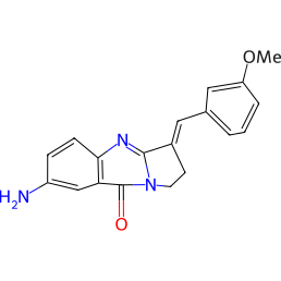 COc1cccc(C=C2CCn3c2nc2ccc(N)cc2c3=O)c1